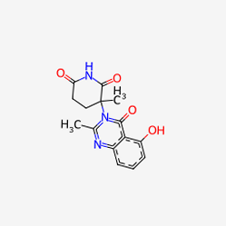 Cc1nc2cccc(O)c2c(=O)n1C1(C)CCC(=O)NC1=O